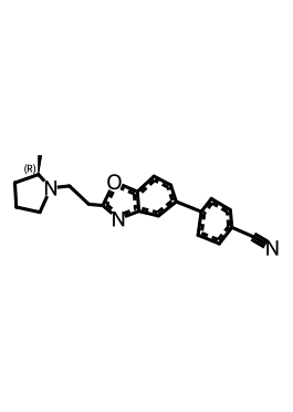 C[C@@H]1CCCN1CCc1nc2cc(-c3ccc(C#N)cc3)ccc2o1